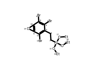 CCO[Si](CCc1c(Br)c(Br)c2c(c1Br)O2)(OCC)OCC